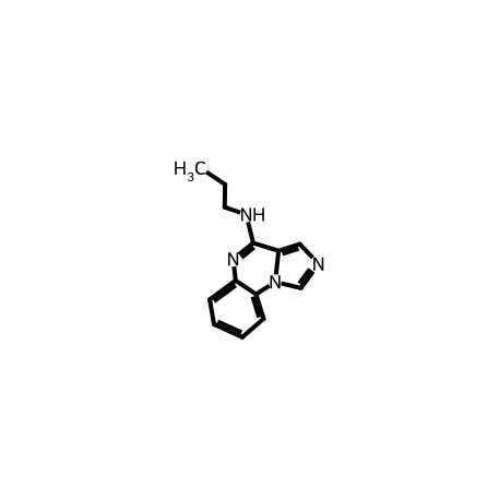 CCCNc1nc2ccccc2n2cncc12